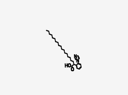 CCCCCCCCCCCCCCCCCCC(C(=O)O)c1ccccc1-n1ccnc1